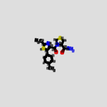 Cc1ccc(-c2sc(C)nc2C(=O)N2CSC[C@H]2C(N)=O)cc1